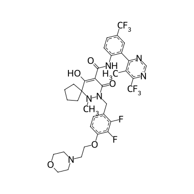 Cc1c(-c2cc(C(F)(F)F)ccc2NC(=O)C2=C(O)C3(CCCC3)N(C)N(Cc3ccc(OCCN4CCOCC4)c(F)c3F)C2=O)ncnc1C(F)(F)F